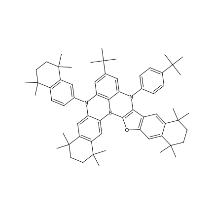 CC(C)(C)c1ccc(N2c3cc(C(C)(C)C)cc4c3B(c3cc5c(cc3N4c3ccc4c(c3)C(C)(C)CCC4(C)C)C(C)(C)CCC5(C)C)c3oc4cc5c(cc4c32)C(C)(C)CCC5(C)C)cc1